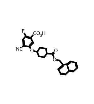 N#Cc1cc(F)c(C(=O)O)cc1OC1CCC(C(=O)OCc2cccc3ccccc23)CC1